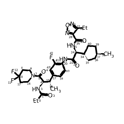 CCC(=O)N[C@@H](C(=O)N1CCC(F)(F)CC1)[C@@H](C)c1ccc(NC(=O)[C@@H](NC(=O)c2nonc2CC)[C@H]2CC[C@H](C)CC2)c(F)c1